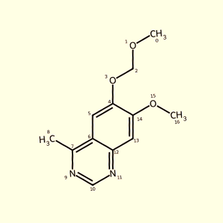 COCOc1cc2c(C)ncnc2cc1OC